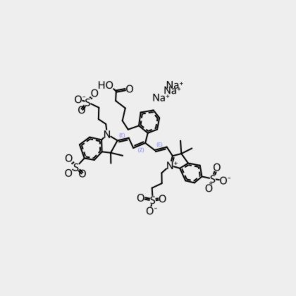 CC1(C)C(/C=C/C(=C/C=C2/N(CCCS(=O)(=O)[O-])c3ccc(S(=O)(=O)[O-])cc3C2(C)C)c2ccccc2CCCCC(=O)O)=[N+](CCCS(=O)(=O)[O-])c2ccc(S(=O)(=O)[O-])cc21.[Na+].[Na+].[Na+]